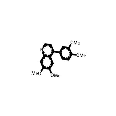 COc1ccc(-c2ccnc3cc(OC)c(OC)cc23)cc1OC